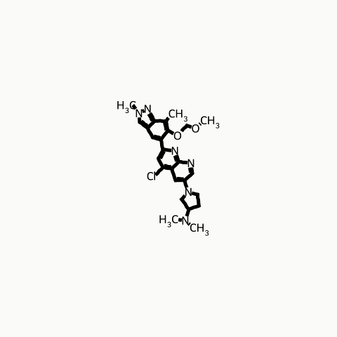 COCOc1c(-c2cc(Cl)c3cc(N4CCC(N(C)C)C4)cnc3n2)cc2cn(C)nc2c1C